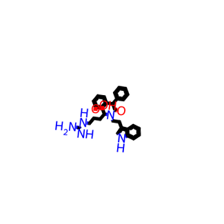 N=C(N)NCCCC(C(=O)O)N(CCc1c[nH]c2ccccc12)C(=O)C(c1ccccc1)c1ccccc1